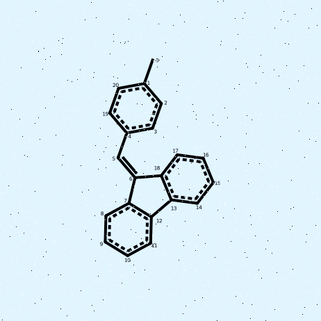 Cc1ccc(C=C2c3ccccc3-c3ccccc32)cc1